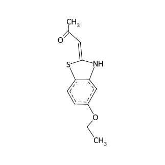 CCOc1ccc2c(c1)N/C(=C/C(C)=O)S2